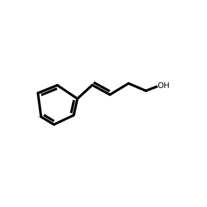 OCCC=Cc1cc[c]cc1